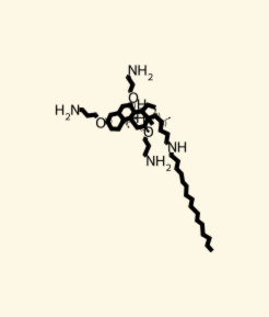 CCCCCCCCCCCCCCCCNCCC[C@@H](C)[C@H]1CC[C@H]2C3[C@H](OCCCN)CC4C[C@H](OCCCN)CC[C@]4(C)[C@H]3C[C@H](OCCCN)C12C